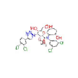 CO[C@@H]1[C@@H](n2cc(-c3ccc(Cl)c(Cl)c3)nn2)[C@@H](O)[C@@H](CO)O[C@H]1C(=O)N(c1cc(Cl)cc(Cl)c1)[C@H]1CCCC[C@@H]1O